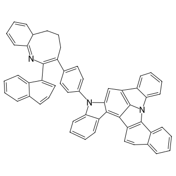 C1=C/C2=N/C(c3cccc4ccccc34)=C(/c3ccc(-n4c5ccccc5c5c6c7ccc8ccccc8c7n7c8ccccc8c(cc54)c67)cc3)CCCC2C=C1